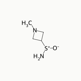 CN1CC([S+](N)[O-])C1